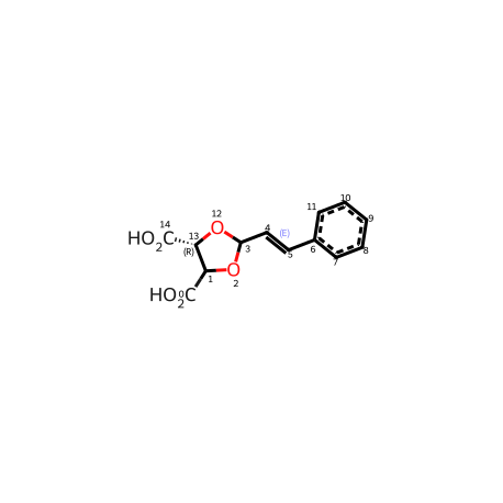 O=C(O)C1OC(/C=C/c2ccccc2)O[C@H]1C(=O)O